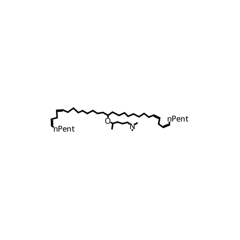 CCCCC/C=C\C/C=C\CCCCCCCCC(CCCCCCCC/C=C\C/C=C\CCCCC)OC(C)CCCN(C)C